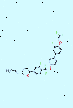 C/C=C/C1CCC(c2ccc(C(F)(F)Oc3ccc(-c4cc(F)c(OC=C(F)F)c(F)c4)cc3)c(F)c2)OC1